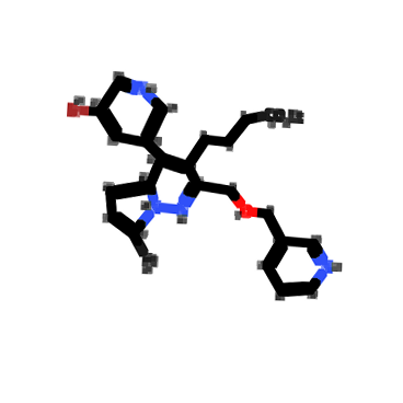 CCOC(=O)CCCc1c(COCc2cccnc2)nn2c(CC)ccc2c1-c1cncc(Br)c1